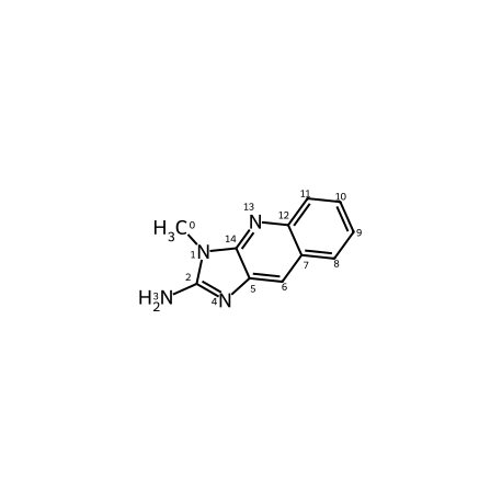 Cn1c(N)nc2cc3ccccc3nc21